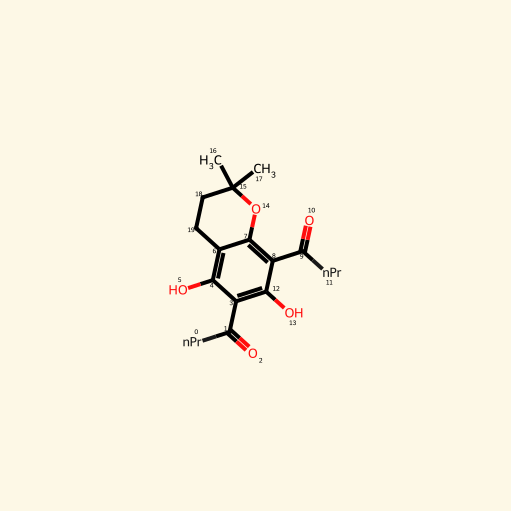 CCCC(=O)c1c(O)c2c(c(C(=O)CCC)c1O)OC(C)(C)CC2